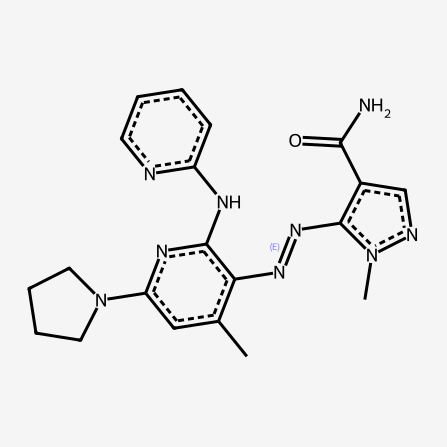 Cc1cc(N2CCCC2)nc(Nc2ccccn2)c1/N=N/c1c(C(N)=O)cnn1C